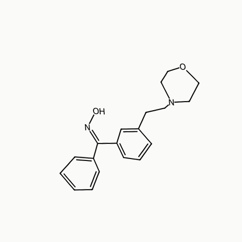 ON=C(c1ccccc1)c1cccc(CCN2CCOCC2)c1